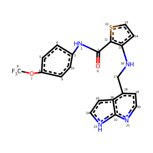 O=C(Nc1ccc(OC(F)(F)F)cc1)c1sccc1NCc1ccnc2[nH]ccc12